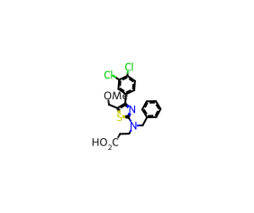 COCc1sc(N(CCC(=O)O)Cc2ccccc2)nc1-c1ccc(Cl)c(Cl)c1